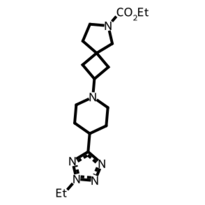 CCOC(=O)N1CCC2(CC(N3CCC(c4nnn(CC)n4)CC3)C2)C1